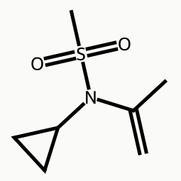 C=C(C)N(C1CC1)S(C)(=O)=O